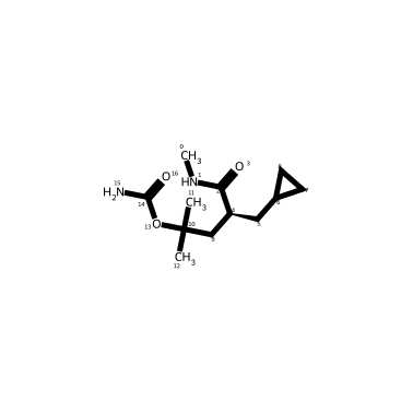 CNC(=O)[C@@H](CC1CC1)CC(C)(C)OC(N)=O